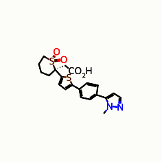 Cn1nccc1-c1ccc(-c2ccc([C@@]3(CC(=O)O)CCCCS3(=O)=O)s2)cc1